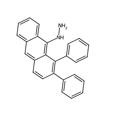 NNc1c2ccccc2cc2ccc(-c3ccccc3)c(-c3ccccc3)c12